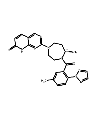 Cc1ccc(-n2nccn2)c(C(=O)N2CCN(c3ncc4ccc(=O)[nH]c4n3)CC[C@H]2C)c1